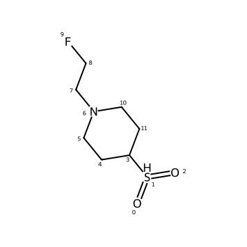 O=[SH](=O)C1CCN(CCF)CC1